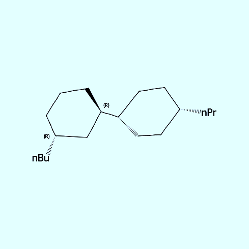 CCCC[C@@H]1CCC[C@@H]([C@H]2CC[C@@H](CCC)CC2)C1